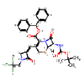 CC(C)(C)OC(=O)N[C@@H]1C(=O)N2C(C(=O)OC(c3ccccc3)c3ccccc3)=C(C=C3CN(CC(F)(F)F)C3=O)CS[C@H]12